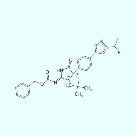 CC(C)(C)C[C@]1(c2ccc(-c3cnn(C(F)F)c3)cc2)NC(=NC(=O)OCc2ccccc2)NC1=O